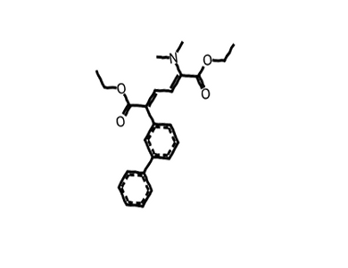 CCOC(=O)/C(=C/C=C(/C(=O)OCC)c1cccc(-c2ccccc2)c1)N(C)C